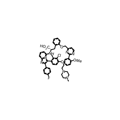 COc1ccccc1-c1nccc(COc2ccccc2C[C@H](Nc2cccc3nc(-c4ccc(F)cc4)c(-c4ccc(OCCN5CCN(C)CC5)c(Cl)c4C)n23)C(=O)O)n1